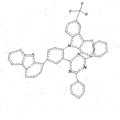 FC(F)(F)c1ccc2c(c1)c1ccccc1n2-c1ccc(-c2cccc3c2sc2ccccc23)cc1-c1nc(-c2ccccc2)nc(-c2ccccc2)n1